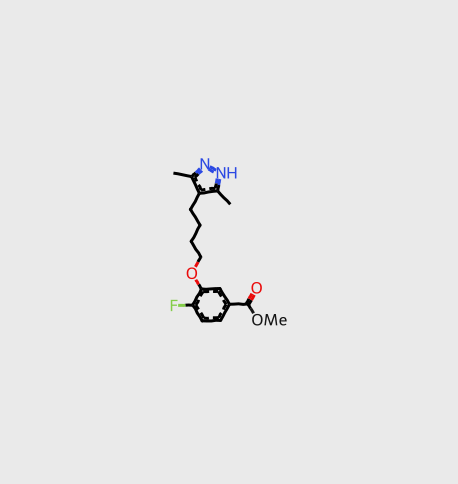 COC(=O)c1ccc(F)c(OCCCCc2c(C)n[nH]c2C)c1